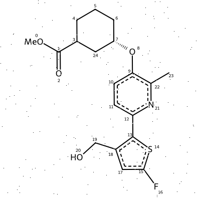 COC(=O)C1CCC[C@H](Oc2ccc(-c3sc(F)cc3CO)nc2C)C1